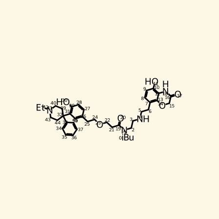 CC[C@@H](C)N(CCNCCc1ccc(O)c2c1OCC(=O)N2)C(=O)CCOCCc1ccc(O)c(C2(c3ccccc3)CCN(CC)CC2)c1